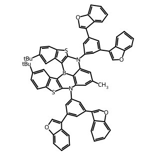 Cc1cc2c3c(c1)N(c1cc(-c4coc5ccccc45)cc(-c4coc5ccccc45)c1)c1sc4ccc(C(C)(C)C)cc4c1B3c1c(sc3ccc(C(C)(C)C)cc13)N2c1cc(-c2coc3ccccc23)cc(-c2coc3ccccc23)c1